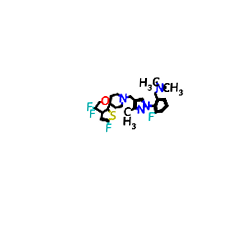 Cc1nn(-c2c(F)cccc2CN(C)C)cc1CN1CCC2(CC1)OCC(F)(F)C1C=C(F)SC12